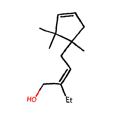 CCC(=CCC1(C)CC=CC1(C)C)CO